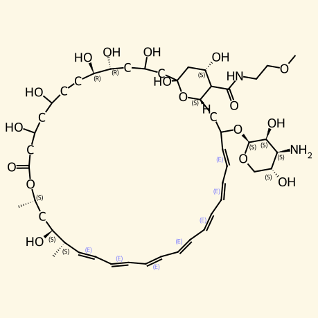 COCCNC(=O)C1[C@@H]2CC(O[C@@H]3OC[C@@H](O)[C@H](N)[C@@H]3O)/C=C/C=C/C=C/C=C/C=C/C=C/C=C/[C@H](C)[C@@H](O)C[C@H](C)OC(=O)CC(O)CC(O)CC[C@@H](O)[C@H](O)CC(O)CC(O)(C[C@@H]1O)O2